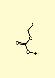 CCOC(=O)OCCl